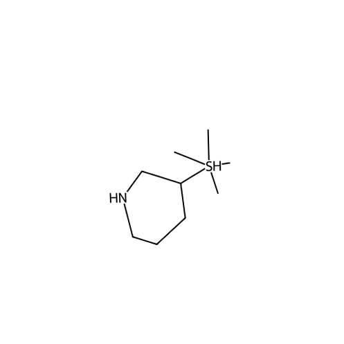 C[SH](C)(C)(C)C1CCCNC1